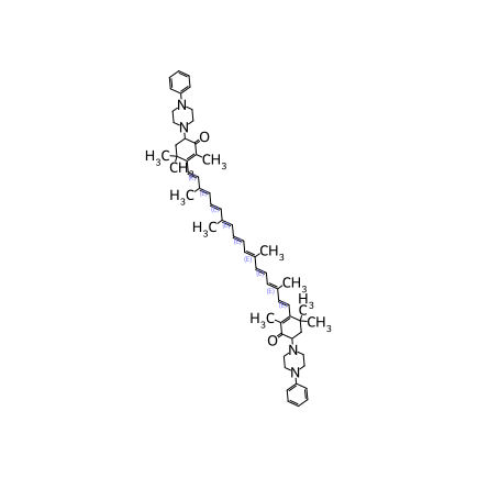 CC1=C(/C=C/C(C)=C/C=C/C(C)=C/C=C/C=C(C)/C=C/C=C(C)/C=C/C2=C(C)C(=O)C(N3CCN(c4ccccc4)CC3)CC2(C)C)C(C)(C)CC(N2CCN(c3ccccc3)CC2)C1=O